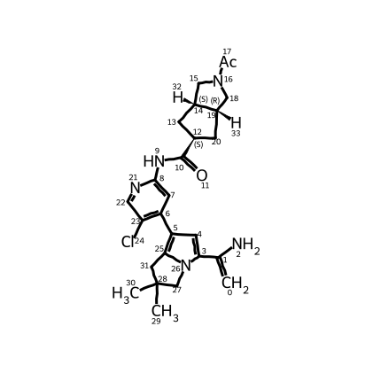 C=C(N)c1cc(-c2cc(NC(=O)[C@H]3C[C@@H]4CN(C(C)=O)C[C@@H]4C3)ncc2Cl)c2n1CC(C)(C)C2